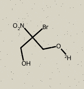 [2H]OCC(Br)(CO)[N+](=O)[O-]